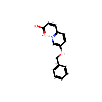 O=C(O)/C=C\c1ccc(OCc2ccccc2)cn1